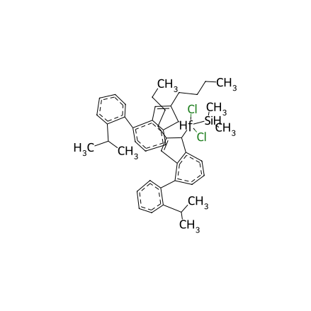 CCCCC1=Cc2c(-c3ccccc3C(C)C)cccc2[CH]1[Hf]([Cl])([Cl])([CH]1C(CCCC)=Cc2c(-c3ccccc3C(C)C)cccc21)[SiH](C)C